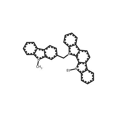 CCn1c2ccccc2c2ccc3c4ccccc4n(Cc4ccc5c6ccccc6n(C)c5c4)c3c21